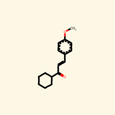 COc1ccc(C=CC(=O)C2CCCCC2)cc1